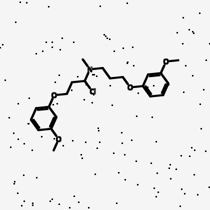 COc1cccc(OCCCN(C)C(Cl)CCOc2cccc(OC)c2)c1